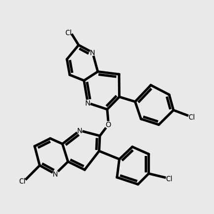 Clc1ccc(-c2cc3nc(Cl)ccc3nc2Oc2nc3ccc(Cl)nc3cc2-c2ccc(Cl)cc2)cc1